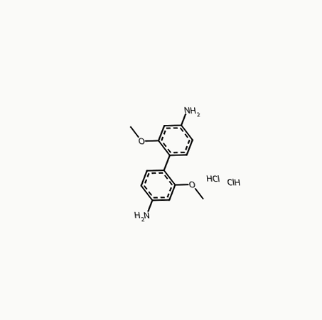 COc1cc(N)ccc1-c1ccc(N)cc1OC.Cl.Cl